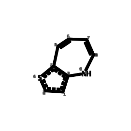 [c]1cc2c(s1)C=CC=CN2